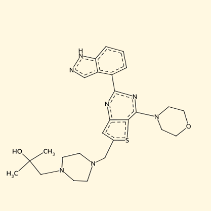 CC(C)(O)CN1CCN(Cc2cc3nc(-c4cccc5[nH]ncc45)nc(N4CCOCC4)c3s2)CC1